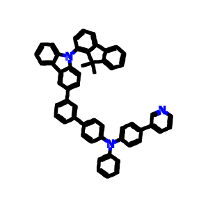 CC1(C)c2ccccc2-c2cccc(-n3c4ccccc4c4cc(-c5cccc(-c6ccc(N(c7ccccc7)c7ccc(-c8cccnc8)cc7)cc6)c5)ccc43)c21